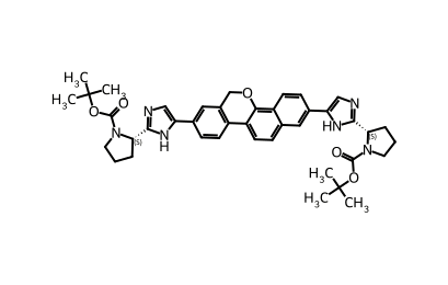 CC(C)(C)OC(=O)N1CCC[C@H]1c1ncc(-c2ccc3c(c2)COc2c-3ccc3cc(-c4cnc([C@@H]5CCCN5C(=O)OC(C)(C)C)[nH]4)ccc23)[nH]1